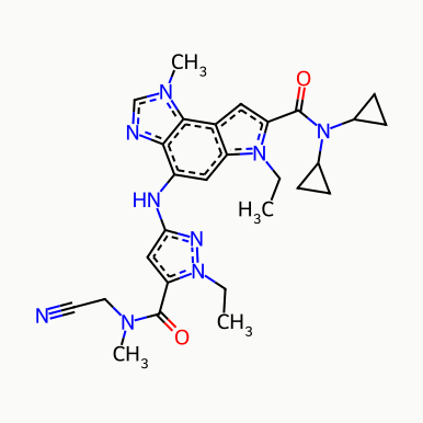 CCn1nc(Nc2cc3c(cc(C(=O)N(C4CC4)C4CC4)n3CC)c3c2ncn3C)cc1C(=O)N(C)CC#N